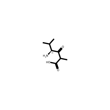 CC(C(=O)O)C(=O)[C@@H](N)C(C)C